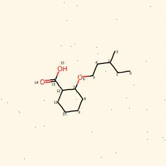 CCC(C)CCOC1CCCCC1C(=O)O